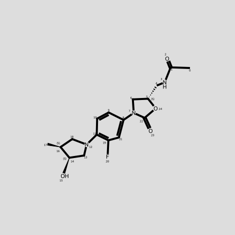 CC(=O)NC[C@H]1CN(c2ccc(N3C[C@@H](O)[C@@H](C)C3)c(F)c2)C(=O)O1